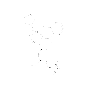 CC(C=CS(C)(=O)=O)NC(=O)c1cnc(C2CCCC2)nc1Oc1ccccc1F